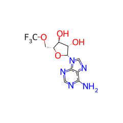 Nc1ncnc2c1ncn2[C@@H]1O[C@H](COC(F)(F)F)[C@@H](O)[C@@H]1O